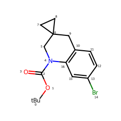 CC(C)(C)OC(=O)N1CC2(CC2)Cc2ccc(Br)cc21